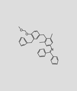 COCOc1ccc(Cc2c(C)cc(N=C(c3ccccc3)c3ccccc3)cc2C)cc1Cc1ccccc1